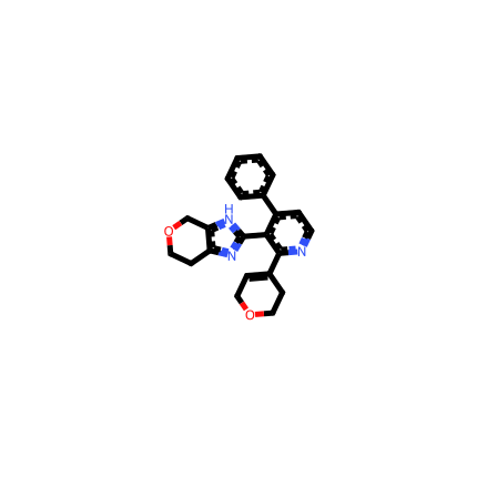 C1=C(c2nccc(-c3ccccc3)c2-c2nc3c([nH]2)COCC3)CCOC1